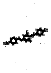 CCCCC1CCC(CCc2cc(F)c(C#CC3CCC(CC)CC3)c(F)c2)CC1